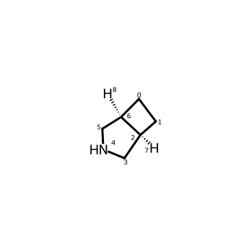 C1C[C@H]2CNC[C@@H]12